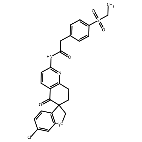 CCC1(c2ccc(Cl)cc2)CCc2nc(NC(=O)Cc3ccc(S(=O)(=O)CC)cc3)ccc2C1=O